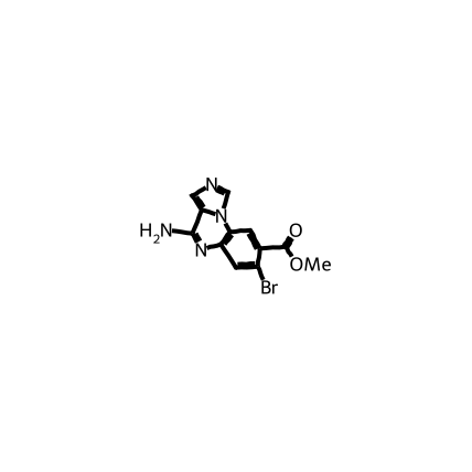 COC(=O)c1cc2c(cc1Br)nc(N)c1cncn12